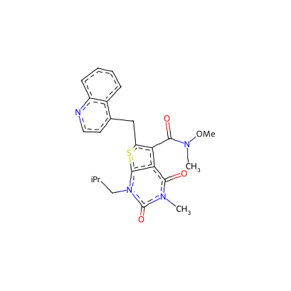 CON(C)C(=O)c1c(Cc2ccnc3ccccc23)sc2c1c(=O)n(C)c(=O)n2CC(C)C